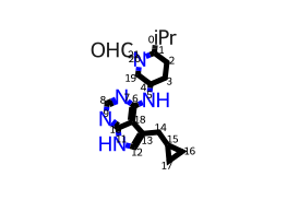 CC(C)C1CCC(Nc2ncnc3[nH]cc(CC4CC4)c23)CN1C=O